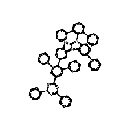 c1ccc(-c2ccc3c(c2)n2c4cc(-c5c(-c6ccccc6)cc(-c6nc(-c7ccccc7)nc(-c7ccccc7)n6)cc5-c5ccccc5)ccc4nc2n3-c2c(-c3ccccc3)cccc2-c2ccccc2)cc1